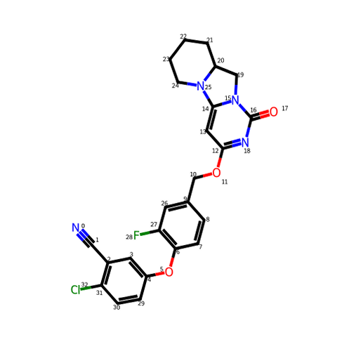 N#Cc1cc(Oc2ccc(COc3cc4n(c(=O)n3)CC3CCCCN43)cc2F)ccc1Cl